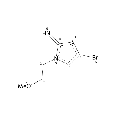 COCCn1cc(Br)sc1=N